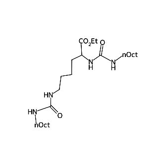 CCCCCCCCNC(=O)NCCCCC(NC(=O)NCCCCCCCC)C(=O)OCC